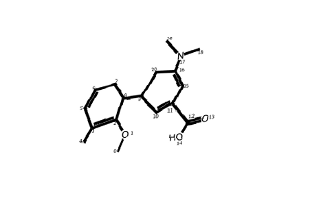 COC1=C(C)C=CCC1C1C=C(C(=O)O)C=C(N(C)C)C1